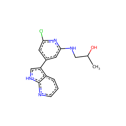 CC(O)CNc1cc(-c2c[nH]c3ncccc23)cc(Cl)n1